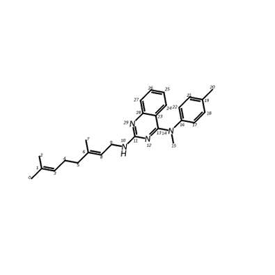 CC(C)=CCC/C(C)=C/CNc1nc(N(C)c2ccc(C)cc2)c2ccccc2n1